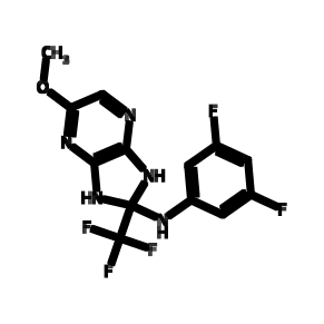 COc1cnc2c(n1)NC(Nc1cc(F)cc(F)c1)(C(F)(F)F)N2